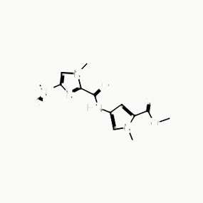 COC(=O)c1cc(NC(=O)c2nc([N+](=O)[O-])cn2C)cn1C